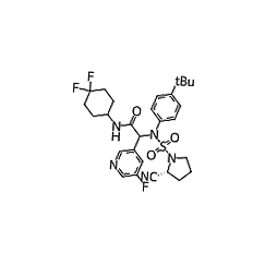 CC(C)(C)c1ccc(N(C(C(=O)NC2CCC(F)(F)CC2)c2cncc(F)c2)S(=O)(=O)N2CCC[C@@H]2C#N)cc1